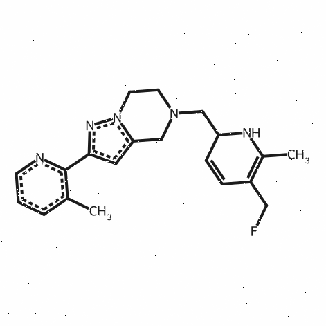 CC1=C(CF)C=CC(CN2CCn3nc(-c4ncccc4C)cc3C2)N1